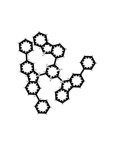 c1ccc(-c2ccc3c4ccccc4n(-c4nc(-c5cccc6c5oc5ccccc56)nc(-n5c6cc(-c7ccccc7)ccc6c6ccc(-c7ccccc7)cc65)n4)c3c2)cc1